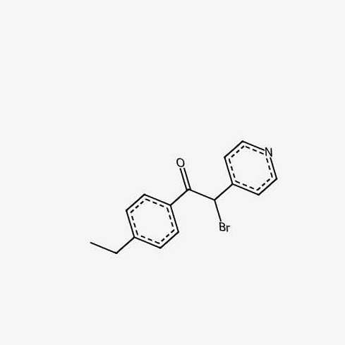 CCc1ccc(C(=O)C(Br)c2ccncc2)cc1